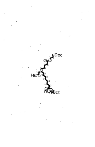 CCCCCCCCCCCCOC(=O)CCCCN(CCO)CCCCCCCC(OCCCCCCCC)OCCCCCCCC